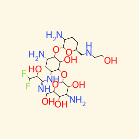 N=C(N[C@@H]1C[C@H](N)C(O[C@H]2O[C@H](CNCCO)CCC2N)C(O)C1O[C@H]1OC(CO)C(O)[C@H](N)C1O)C(O)C(F)F